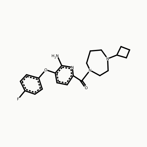 Nc1nc(C(=O)N2CCCN(C3CCC3)CC2)ccc1Oc1ccc(F)cc1